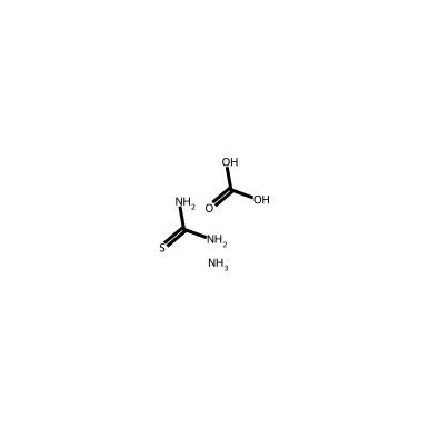 N.NC(N)=S.O=C(O)O